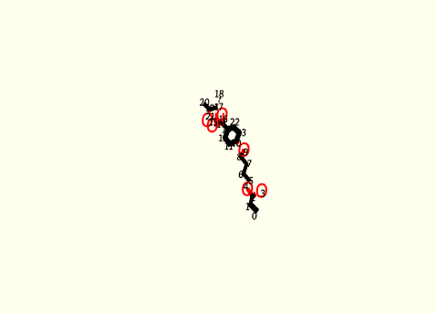 C=CC(=O)OCCCCOc1ccc(C(=O)O[C@@H](C)C(C)O)cc1